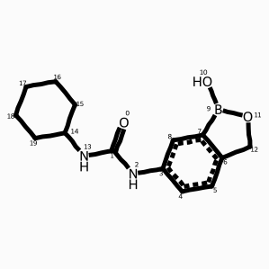 O=C(Nc1ccc2c(c1)B(O)OC2)NC1CCCCC1